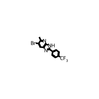 Cc1nc2[nH]c(-c3ccc(C(F)(F)F)cc3)nc2cc1Br